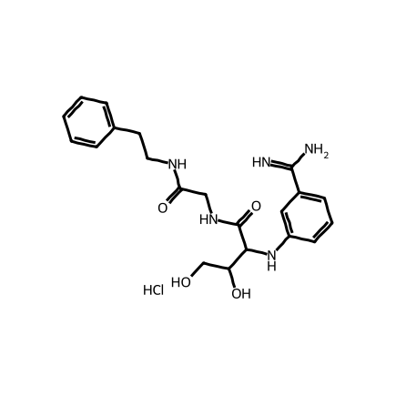 Cl.N=C(N)c1cccc(NC(C(=O)NCC(=O)NCCc2ccccc2)C(O)CO)c1